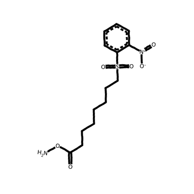 NOC(=O)CCCCCCCS(=O)(=O)c1ccccc1[N+](=O)[O-]